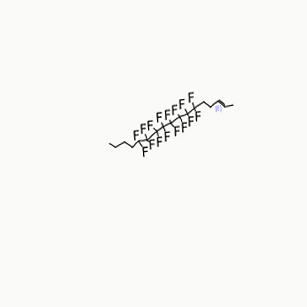 C/C=C/CCC(F)(F)C(F)(F)C(F)(F)C(F)(F)C(F)(F)C(F)(F)C(F)(F)C(F)(F)CCCC